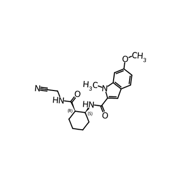 COc1ccc2cc(C(=O)N[C@H]3CCCC[C@H]3C(=O)NCC#N)n(C)c2c1